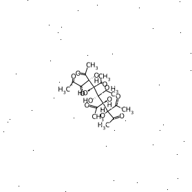 CC(=O)C(=O)[C@@](O)(C(C)=O)[C@](O)(C(C)=O)[C@@](O)(C(C)=O)[C@@](O)(C(C)=O)C(O)(C(C)=O)C(C)=O